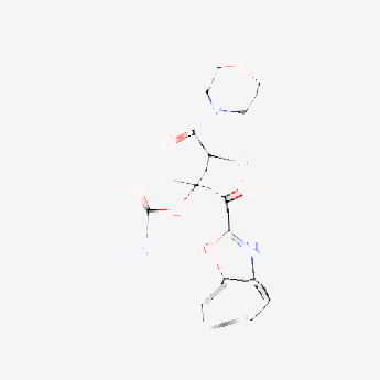 CCCCC(OC(N)=O)(C(=O)c1nc2ccccc2o1)C(C(=O)N1CCOCC1)C(C)C